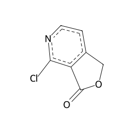 O=C1OCc2ccnc(Cl)c21